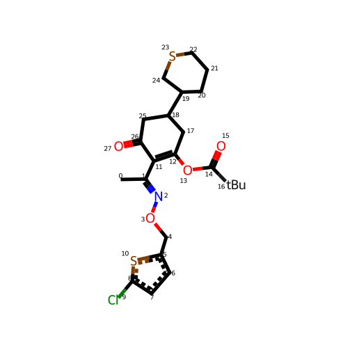 CC(=NOCc1ccc(Cl)s1)C1=C(OC(=O)C(C)(C)C)CC(C2CCCSC2)CC1=O